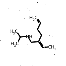 C=CCC/C(=C\C)CNC(C)C